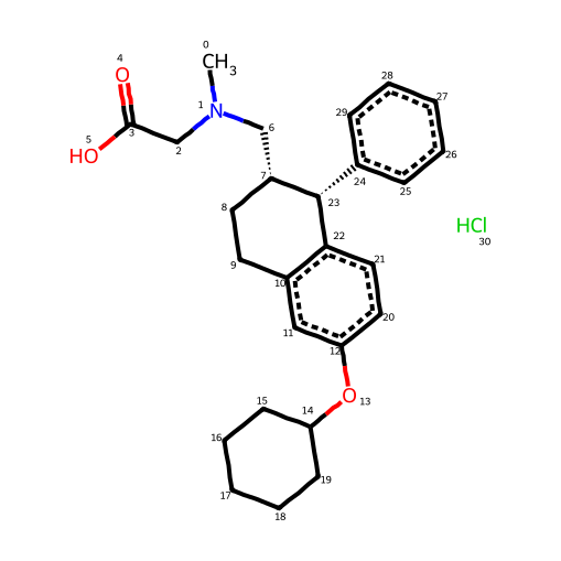 CN(CC(=O)O)C[C@H]1CCc2cc(OC3CCCCC3)ccc2[C@H]1c1ccccc1.Cl